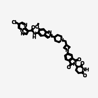 COc1cc2nn(C3CCN(CC4CN(c5ccc6c(c5)C(=O)N(C5CCC(=O)NC5=O)C6=O)C4)CC3)cc2cc1NC(=O)c1cnn2cc(Cl)cnc12